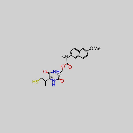 COc1ccc2cc([C@H](C)C(=O)OC[C@@H]3NC(=O)[C@H](C(C)CS)NC3=O)ccc2c1